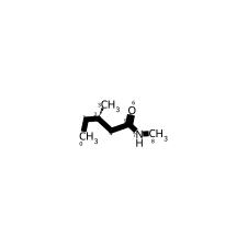 CC[C@H](C)CC(=O)NC